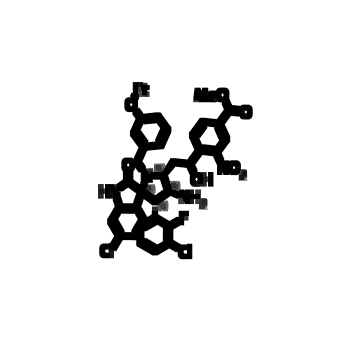 CCOc1cccc(CN2[C@@H](CC(O)c3ccc(C(=O)OC)cc3[N+](=O)[O-])[C@@H](N)[C@H](c3cccc(Cl)c3F)[C@]23C(=O)Nc2cc(Cl)ccc23)c1